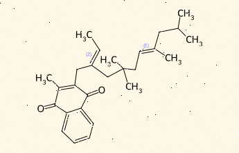 C/C=C(\CC1=C(C)C(=O)c2ccccc2C1=O)CC(C)(C)C/C=C(\C)CC(C)C